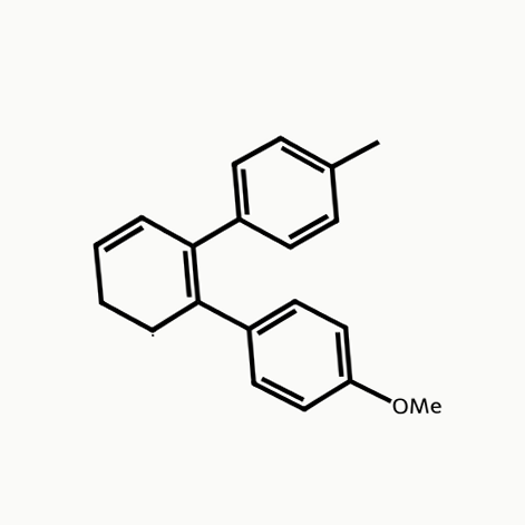 COc1ccc(C2=C(c3ccc(C)cc3)C=CC[CH]2)cc1